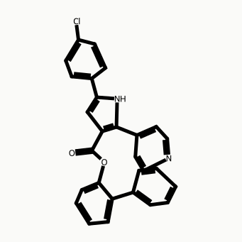 O=C(Oc1ccccc1-c1ccccc1)c1cc(-c2ccc(Cl)cc2)[nH]c1-c1ccncc1